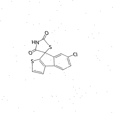 O=C1NC(=O)C2(S1)c1cc(Cl)ccc1-c1ccsc12